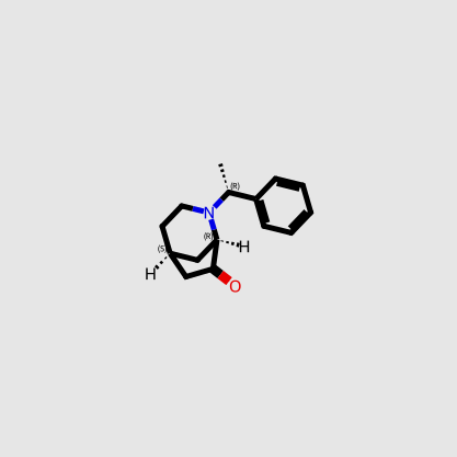 C[C@H](c1ccccc1)N1CC[C@@H]2CC(=O)[C@H]1C2